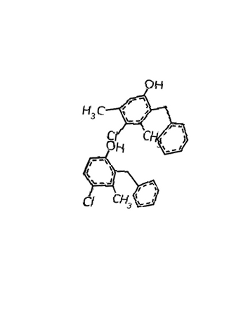 Cc1c(Cl)ccc(O)c1Cc1ccccc1.Cc1cc(O)c(Cc2ccccc2)c(C)c1Cl